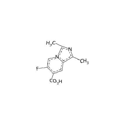 Cc1nc(C)n2cc(F)c(C(=O)O)cc12